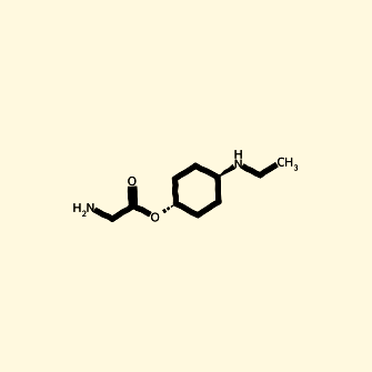 CCN[C@H]1CC[C@H](OC(=O)CN)CC1